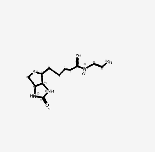 O=C(CCCCC1SCC2NC(=O)NC21)NCCS